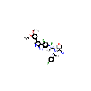 COc1ccc(-c2cnc(N)c(-c3ccc(N(F)/C(C)=C/N(/C=C(\C)c4ccc(F)cc4)CC4(C#N)CCOCC4)cc3F)c2)cc1OC